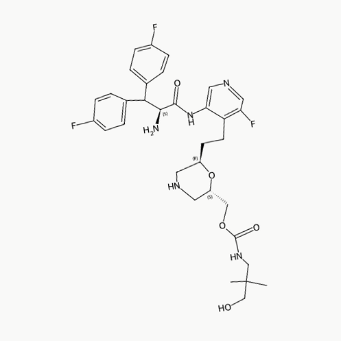 CC(C)(CO)CNC(=O)OC[C@@H]1CNC[C@@H](CCc2c(F)cncc2NC(=O)[C@@H](N)C(c2ccc(F)cc2)c2ccc(F)cc2)O1